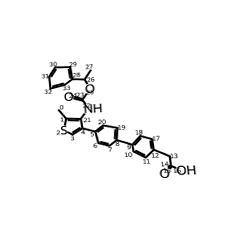 Cc1scc(-c2ccc(-c3ccc(CC(=O)O)cc3)cc2)c1NC(=O)OC(C)c1ccccc1